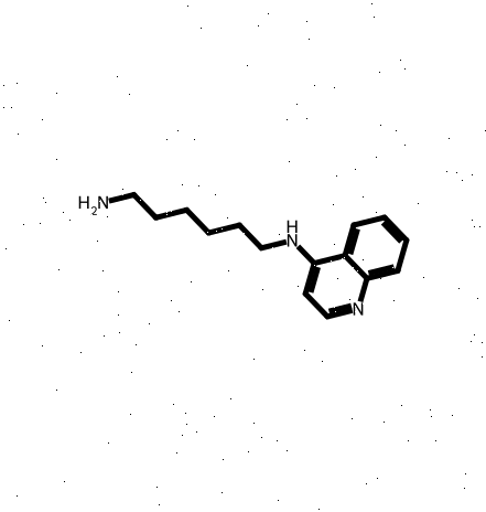 NCCCCCCNc1ccnc2ccccc12